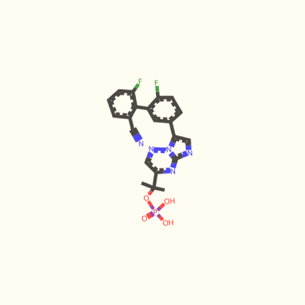 CC(C)(OP(=O)(O)O)c1cnn2c(-c3ccc(F)c(-c4c(F)cccc4C#N)c3)cnc2n1